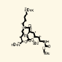 CCCCCCCCCCCCCCN(CCCCCCCCCCCCCC)C(=O)C(CCCCNC(=O)OC(C)(C)C)NC(=O)OC(C)(C)C